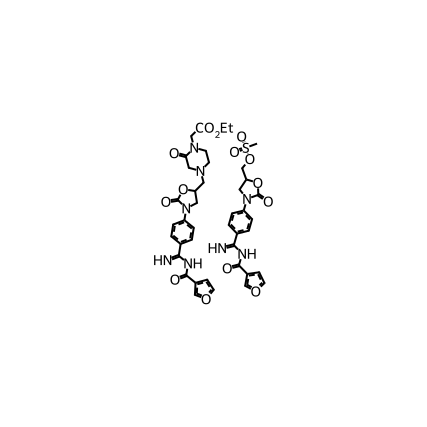 CCOC(=O)CN1CCN(CC2CN(c3ccc(C(=N)NC(=O)c4ccoc4)cc3)C(=O)O2)CC1=O.CS(=O)(=O)OCC1CN(c2ccc(C(=N)NC(=O)c3ccoc3)cc2)C(=O)O1